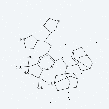 CC(C)(C)c1cc(CP(C2CCNC2)C2CCNC2)c(CP(C23CC4CC(CC(C4)C2)C3)C23CC4CC(CC(C4)C2)C3)cc1C(C)(C)C